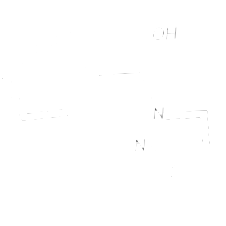 OC(c1ccccc1)n1cc[c]n1